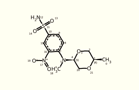 C[C@@H]1CO[C@H](N(C)c2ccc(S(N)(=O)=O)cc2[N+](=O)[O-])CO1